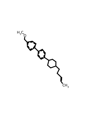 CC=CCCC1CCC(c2ccc(-c3ccc(COC)cc3)cc2)CC1